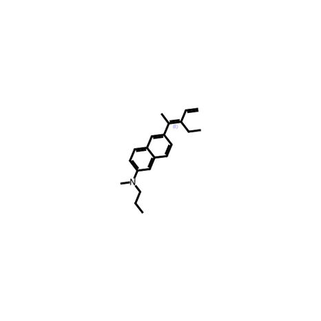 C=C/C(CC)=C(\C)c1ccc2cc(N(C)CCC)ccc2c1